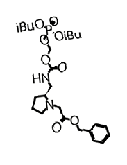 CC(C)COP(=O)(OCOC(=O)NC[C@@H]1CCCN1CC(=O)OCc1ccccc1)OCC(C)C